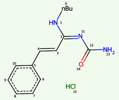 CCCCNC(/C=C/c1ccccc1)=N/C(N)=O.Cl